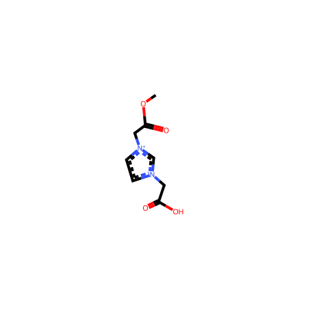 COC(=O)C[n+]1ccn(CC(=O)O)c1